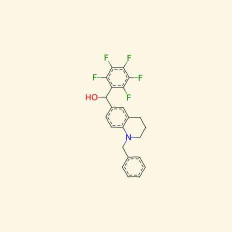 OC(c1ccc2c(c1)CCCN2Cc1ccccc1)c1c(F)c(F)c(F)c(F)c1F